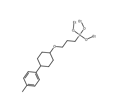 CCO[Si](CCCOC1CCC(c2ccc(C)cc2)CC1)(OCC)OCC